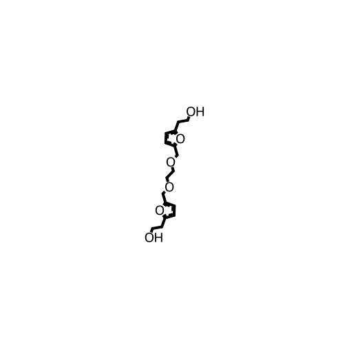 OCCc1ccc(COCCOCc2ccc(CCO)o2)o1